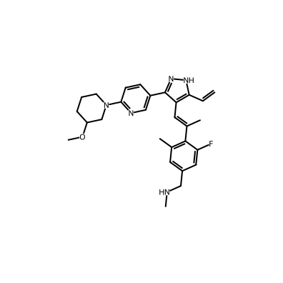 C=Cc1[nH]nc(-c2ccc(N3CCCC(OC)C3)nc2)c1/C=C(\C)c1c(C)cc(CNC)cc1F